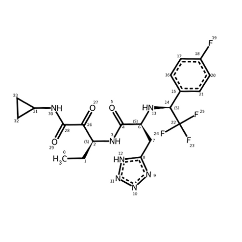 CC[C@H](NC(=O)[C@H](Cc1nnn[nH]1)N[C@@H](c1ccc(F)cc1)C(F)(F)F)C(=O)C(=O)NC1CC1